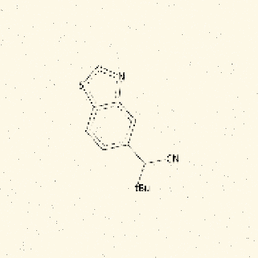 CC(C)(C)C(C#N)c1ccc2scnc2c1